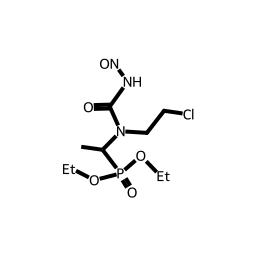 CCOP(=O)(OCC)C(C)N(CCCl)C(=O)NN=O